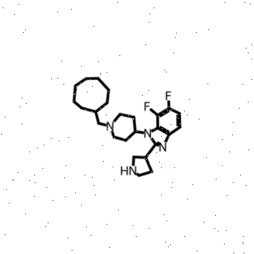 Fc1ccc2nc(C3CCNC3)n(C3CCN(CC4CCCCCCC4)CC3)c2c1F